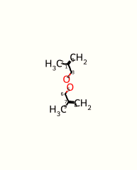 C=C(C)COOCC(=C)C